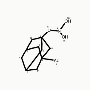 CC(=O)C12CC3CC(CC(ON(O)O)(C3)C1)C2